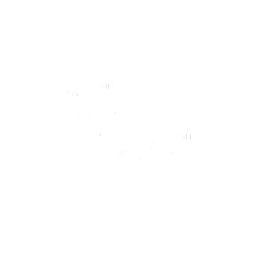 CCC(C)(CCOC(C)CCS)C(=O)O